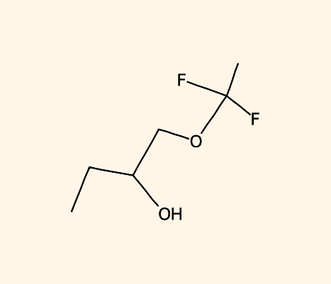 CCC(O)COC(C)(F)F